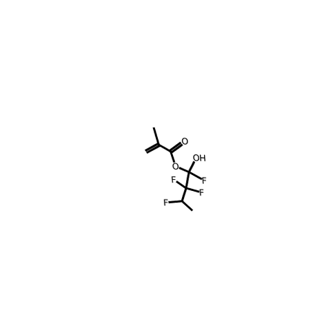 C=C(C)C(=O)OC(O)(F)C(F)(F)C(C)F